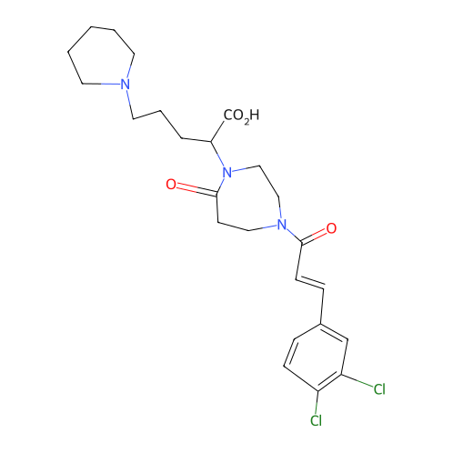 O=C(O)C(CCCN1CCCCC1)N1CCN(C(=O)/C=C/c2ccc(Cl)c(Cl)c2)CCC1=O